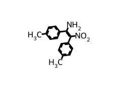 Cc1ccc(C(N)=C(c2ccc(C)cc2)[N+](=O)[O-])cc1